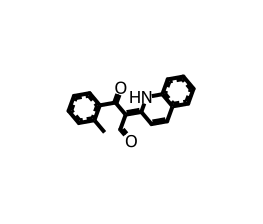 Cc1ccccc1C(=O)/C(C=O)=C1/C=Cc2ccccc2N1